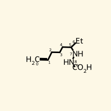 C=CCCCC(CC)NNC(=O)O